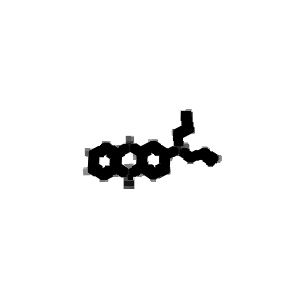 C=CCN(CC=C)c1ccc2c(c1)Sc1ccccc1N2